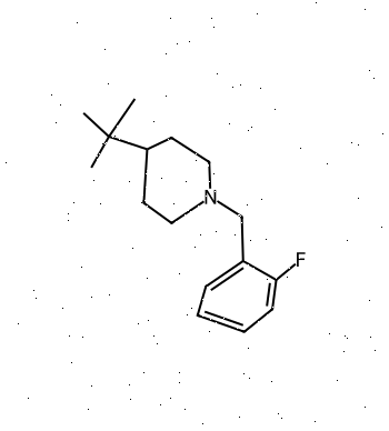 CC(C)(C)C1CCN(Cc2ccccc2F)CC1